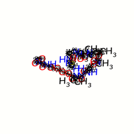 Cc1c(-c2ccc(N3CCc4cccc(C(=O)Nc5nc6ccccc6s5)c4C3)nc2C(=O)O)cnn1CC1(C)CC2CC(C)CC(OCCN(C)C(=O)OCc3ccc(NC(=O)CNC(=O)C(NC(=O)CCOCCOCCOCCOCCNC(=O)CCN4C(=O)C=CC4=O)C(C)C)cc3)(C2)C1